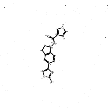 CCc1nc(-c2ccc3c(c2)CC[C@H]3NC(=O)c2cocn2)no1